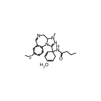 CCCC(=O)NC1(C2=NN(C)C3CN=Cc4cc(SC)ccc4N23)C=CC=CC1.O